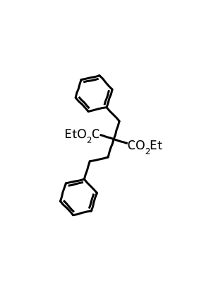 CCOC(=O)C(CCc1ccccc1)(Cc1ccccc1)C(=O)OCC